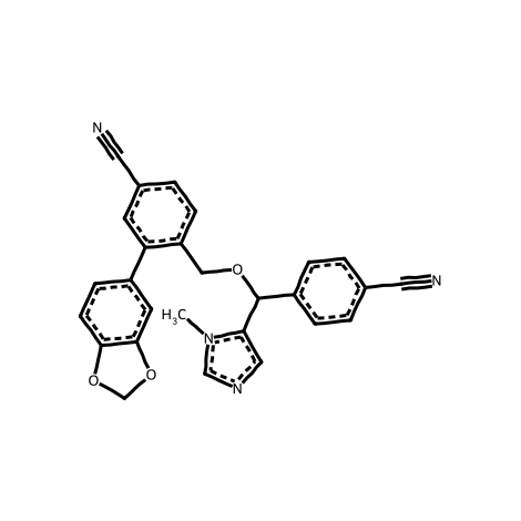 Cn1cncc1C(OCc1ccc(C#N)cc1-c1ccc2c(c1)OCO2)c1ccc(C#N)cc1